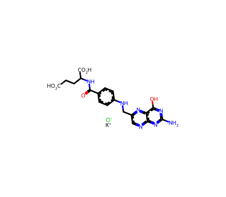 Nc1nc(O)c2nc(CNc3ccc(C(=O)NC(CCC(=O)O)C(=O)O)cc3)cnc2n1.[Cl-].[K+]